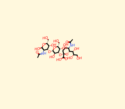 CC(=O)N[C@H]1[C@H]([C@H](O)[C@H](O)CO)O[C@@](O[C@H]2[C@@H](O)[C@@H](CO)O[C@@H](O[C@H]3[C@@H](O)[C@@H](CO)OC(O)[C@@H]3NC(C)=O)[C@@H]2O)(C(=O)O)C[C@@H]1O